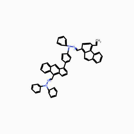 C=Cc1ccc(/C=N/N(c2ccccc2)c2ccc(-c3cccc4c(/C=N/N(c5ccccc5)c5ccccc5)c5ccccc5cc34)cc2)c2ccc3ccccc3c12